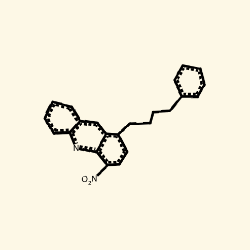 O=[N+]([O-])c1ccc(CCCCc2ccccc2)c2cc3ccccc3nc12